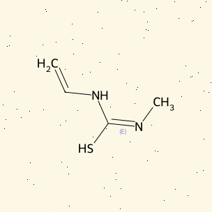 C=CN/C(S)=N\C